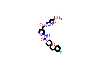 Cc1cc(CNC(=O)c2ccnc(NC(=O)N3CCC4(CCc5cc(F)ccc5O4)CC3)c2)no1